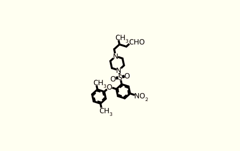 Cc1ccc(C)c(Oc2ccc([N+](=O)[O-])cc2S(=O)(=O)N2CCN(CC(C)CC=O)CC2)c1